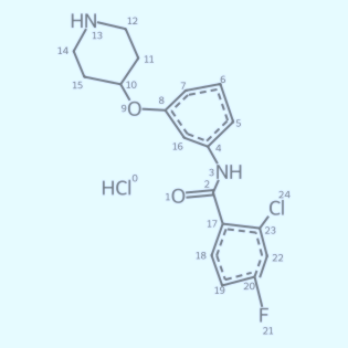 Cl.O=C(Nc1cccc(OC2CCNCC2)c1)c1ccc(F)cc1Cl